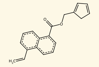 C=Cc1cccc2c(C(=O)OCC3=CC=CC3)cccc12